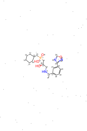 CC(NC[C@@H](O)CP(=O)(O)CC1CCCCC1)c1cccc(-c2ncon2)c1